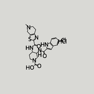 CN1CCc2nc(C(=O)NC3CCN(C(=O)O)CC3NC(=O)c3cc4cc(Cl)ccc4[nH]3)sc2C1.Cl